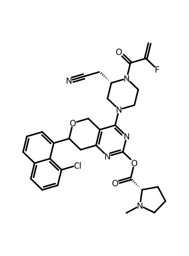 C=C(F)C(=O)N1CCN(c2nc(OC(=O)[C@@H]3CCCN3C)nc3c2COC(c2cccc4cccc(Cl)c24)C3)C[C@@H]1CC#N